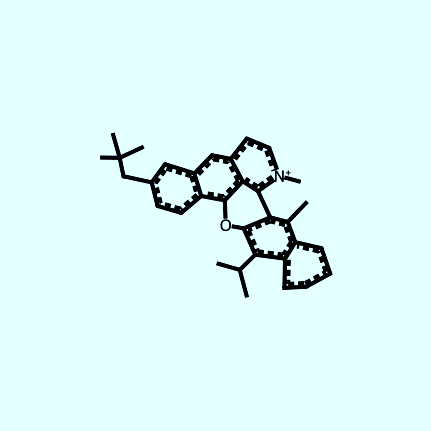 Cc1c2c(c(C(C)C)c3ccccc13)Oc1c3ccc(CC(C)(C)C)cc3cc3cc[n+](C)c-2c13